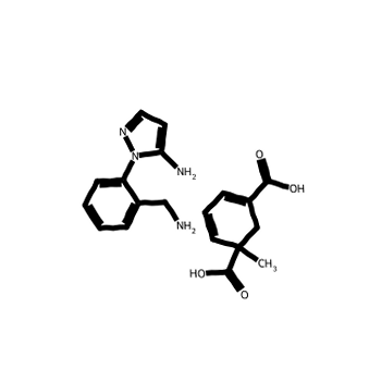 CC1(C(=O)O)C=CC=C(C(=O)O)C1.NCc1ccccc1-n1nccc1N